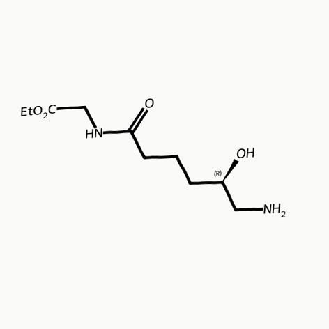 CCOC(=O)CNC(=O)CCC[C@@H](O)CN